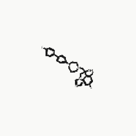 OC(CN1CCCN(c2ccc(-c3ccc(F)cc3)cc2)CC1)(Cn1cncn1)c1ccc(F)cc1F